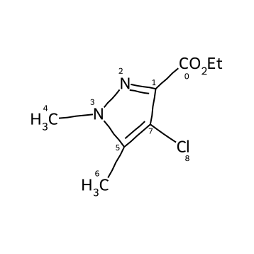 CCOC(=O)c1nn(C)c(C)c1Cl